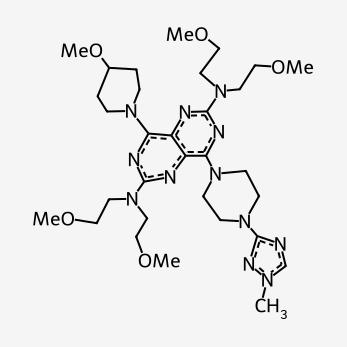 COCCN(CCOC)c1nc(N2CCN(c3ncn(C)n3)CC2)c2nc(N(CCOC)CCOC)nc(N3CCC(OC)CC3)c2n1